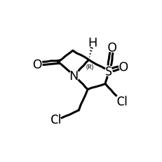 O=C1C[C@@H]2N1C(CCl)C(Cl)S2(=O)=O